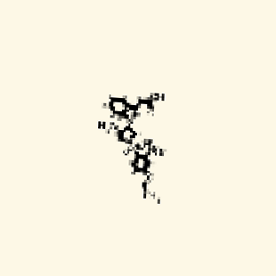 CCOc1ccc(S(=O)(=O)N2C[C@@H](C)[C@@H](n3nc(CC(=O)O)c4ccccc43)C2)c([N+](=O)[O-])c1